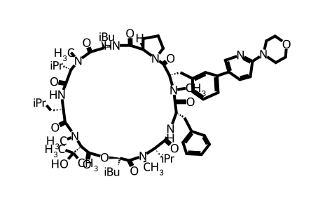 CC[C@H](C)[C@@H]1NC(=O)[C@@H]2CCCN2C(=O)[C@H](Cc2cccc(-c3ccc(N4CCOCC4)nc3)c2)N(C)C(=O)[C@H](Cc2ccccc2)NC(=O)[C@H](C(C)C)N(C)C(=O)[C@@H]([C@@H](C)CC)OC(=O)[C@H](C(C)(C)O)N(C)C(=O)[C@H](CC(C)C)NC(=O)[C@H](C(C)C)N(C)C1=O